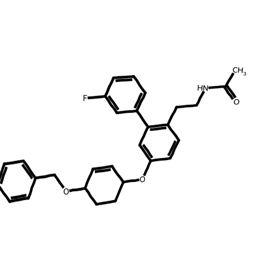 CC(=O)NCCc1ccc(OC2C=CC(OCc3ccccc3)CC2)cc1-c1cccc(F)c1